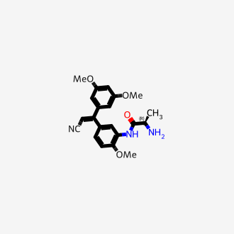 COc1cc(OC)cc(C(=CC#N)c2ccc(OC)c(NC(=O)[C@@H](C)N)c2)c1